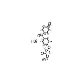 Br.CC(C)OC(=O)C(C)(C)Oc1ccc(C(=O)c2ccc(Cl)cc2)cc1